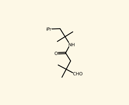 CC(C)CC(C)(C)NC(=O)CC(C)(C)C=O